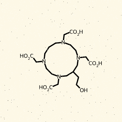 O=C(O)CN1CCCN(CC(=O)O)CCN(CC(=O)O)CC(CCO)CN(CC(=O)O)CC1